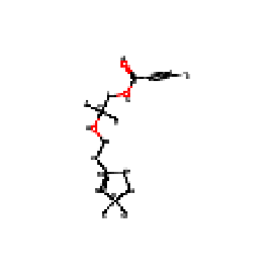 CC#CC(=O)OCC(C)(C)OCCC1=CC(C)(C)CC1